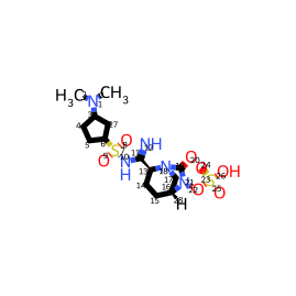 CN(C)C1CCC(S(=O)(=O)NC(=N)[C@@H]2CC[C@@H]3CN2C(=O)N3OS(=O)(=O)O)C1